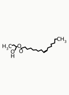 CCCCCC/C=C\CCCCCCCC(=O)OC(CC)CO